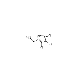 [NH]Cc1ccc(Cl)c(Cl)c1Cl